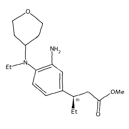 CC[C@H](CC(=O)OC)c1ccc(N(CC)C2CCOCC2)c(N)c1